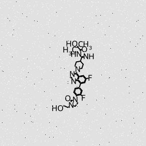 CC(C)(O)C(=O)NC(=N)C1CCN(c2ncnc3c(-c4ccc(N5CCN(CCO)C5=O)c(F)c4)cc(F)cc23)CC1